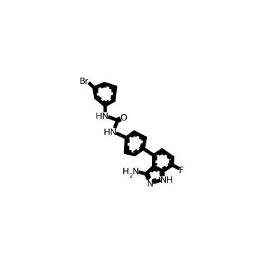 Nc1n[nH]c2c(F)ccc(-c3ccc(NC(=O)Nc4cccc(Br)c4)cc3)c12